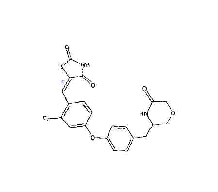 O=C1COCC(Cc2ccc(Oc3ccc(/C=C4/SC(=O)NC4=O)c(Cl)c3)cc2)N1